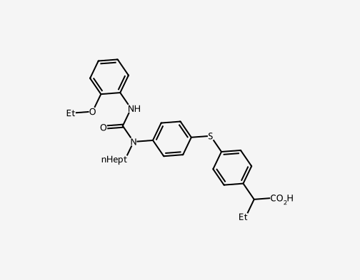 CCCCCCCN(C(=O)Nc1ccccc1OCC)c1ccc(Sc2ccc(C(CC)C(=O)O)cc2)cc1